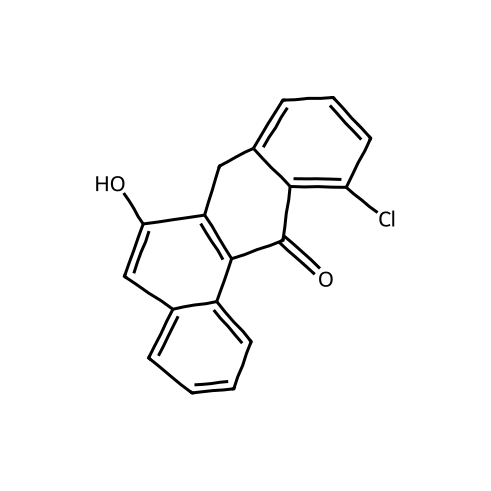 O=C1c2c(Cl)cccc2Cc2c(O)cc3ccccc3c21